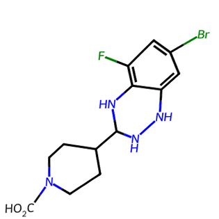 O=C(O)N1CCC(C2NNc3cc(Br)cc(F)c3N2)CC1